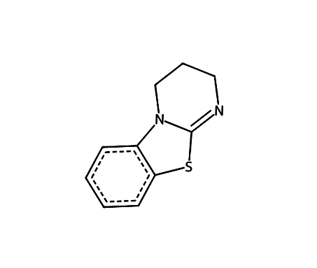 c1ccc2c(c1)SC1=NCCCN12